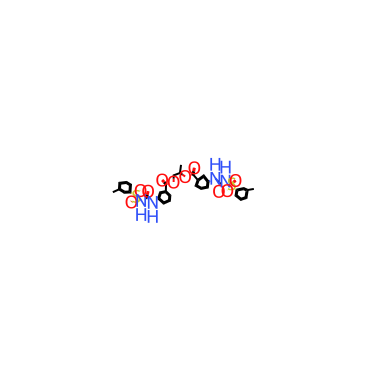 Cc1cccc(S(=O)(=O)NC(=O)Nc2cccc(C(=O)OCC(C)OC(=O)c3cccc(NC(=O)NS(=O)(=O)c4cccc(C)c4)c3)c2)c1